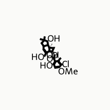 COc1cc(O)c(C(=O)O[C@@H]2C[C@]3(C)C4C(C=C(CO)[C@]23O)CC(C)(C)[C@@H]4O)c(C)c1Cl